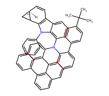 CC(C)(C)c1ccc(-c2ccccc2N(c2ccccc2-c2cccc3cccc(-c4ccccc4)c23)c2cccc3c4c(n(-c5ccccc5)c23)C2C[C@H]2C=C4)cc1